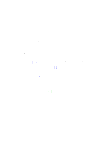 CC(NC(=O)c1ncc(Cl)c(-c2cc(F)cc(F)c2)c1N1CC[C@](C)(NC(=O)O)C1)C1CC1